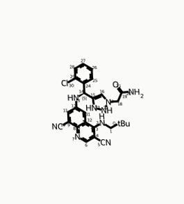 CC(C)(C)CNc1c(C#N)cnc2c(C#N)cc(N[C@H](C3=CN(CC(N)=O)NN3)c3ccccc3Cl)cc12